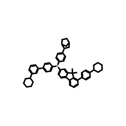 CC1(C)c2cc(N(c3ccc(-c4cccc(C5CCCCC5)c4)cc3)c3ccc(C4CC5CCC4C5)cc3)ccc2-c2cccc(-c3ccc(C4CCCCC4)cc3)c21